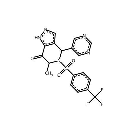 CC1C(=O)c2[nH]ncc2C(c2cncnc2)N1S(=O)(=O)c1ccc(C(F)(F)F)cc1